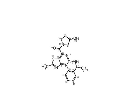 Cc1nc2nc(NC(C)c3cccnc3)nc(C(=O)N3CC[C@@H](O)C3)c2s1